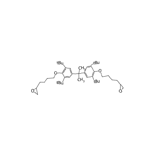 CC(C)(C)c1cc(C(C)(C)c2cc(C(C)(C)C)c(OCCCCC3CO3)c(C(C)(C)C)c2)cc(C(C)(C)C)c1OCCCCC1CO1